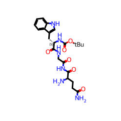 CC(C)(C)OC(=O)N[C@@H](Cc1c[nH]c2ccccc12)C(=O)NCC(=O)NC(=O)C(N)CCC(N)=O